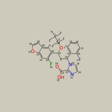 CC(C)(C)[Si](C)(C)OC(CC(c1ccccc1I)n1ccnc1C(=O)O)c1cc2ccoc2cc1F